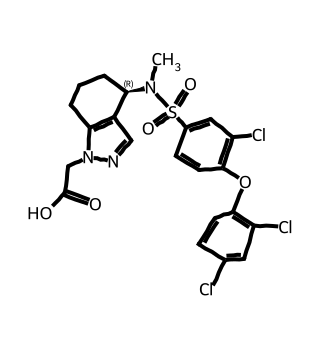 CN([C@@H]1CCCc2c1cnn2CC(=O)O)S(=O)(=O)c1ccc(Oc2ccc(Cl)cc2Cl)c(Cl)c1